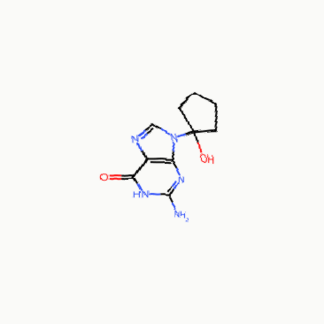 Nc1nc2c(ncn2C2(O)CCCC2)c(=O)[nH]1